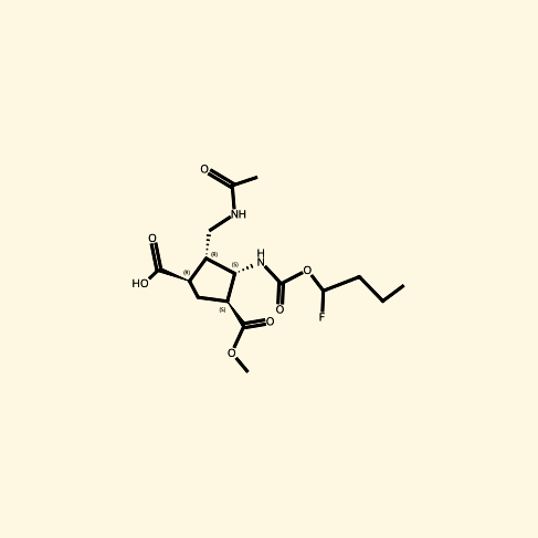 CCCC(F)OC(=O)N[C@H]1[C@@H](CNC(C)=O)[C@H](C(=O)O)C[C@@H]1C(=O)OC